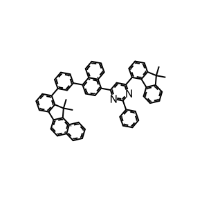 CC1(C)c2ccccc2-c2c(-c3cc(-c4ccc(-c5cccc(-c6cccc7c6C(C)(C)c6c-7ccc7ccccc67)c5)c5ccccc45)nc(-c4ccccc4)n3)cccc21